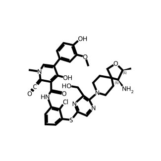 COc1cc(C2=CN(C)C(=C=O)C(C(=O)Nc3cccc(Sc4cnc(N5CCC6(CC5)CO[C@@H](C)[C@H]6N)c(CO)n4)c3Cl)=C2O)ccc1O